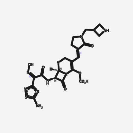 Nc1nc(/C(=N/O)C(=O)N[C@@H]2C(=O)N3C(OC(=O)O)=C(/C=C4\CCN(CC5CNC5)C4=O)CS[C@H]23)ns1